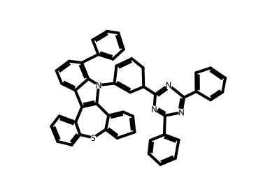 C1=CC(n2c3c(c4cccc(-c5ccccc5)c42)-c2ccccc2Sc2ccccc2-3)=CC(c2nc(-c3ccccc3)nc(-c3ccccc3)n2)C1